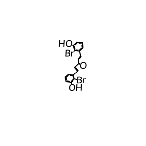 O=C(C=Cc1cccc(O)c1Br)C=Cc1cccc(O)c1Br